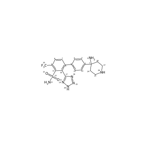 NC1(c2ccc(-c3ccc(C(F)(F)F)c(S(N)(=O)=O)c3-c3nn[nH]n3)cc2)CCNCC1